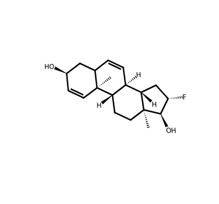 C[C@]12CC[C@H]3[C@@H](C=CC4C[C@H](O)C=C[C@@]43C)[C@@H]1C[C@H](F)[C@H]2O